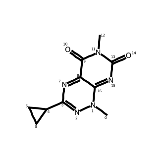 Cn1nc(C2CC2)nc2c(=O)n(C)c(=O)nc1-2